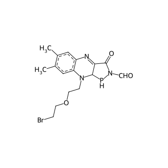 Cc1cc2c(cc1C)N(CCOCCBr)C1PN(C=O)C(=O)C1=N2